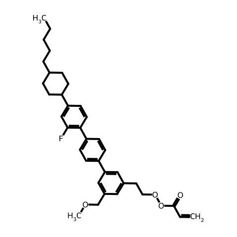 C=CC(=O)OOCCc1cc(COC)cc(-c2ccc(-c3ccc(C4CCC(CCCCC)CC4)cc3F)cc2)c1